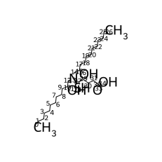 CCCCCCCCCCC(O)CN(CC(O)CCCCCCCCCC)C(S)CCCC(=O)O